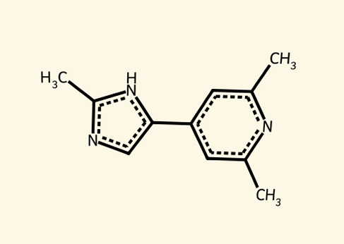 Cc1cc(-c2cnc(C)[nH]2)cc(C)n1